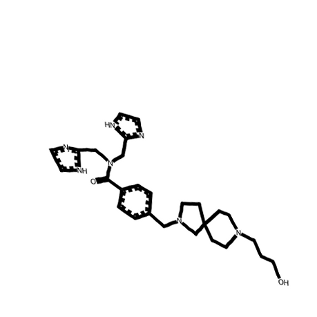 O=C(c1ccc(CN2CCC3(CCN(CCCO)CC3)C2)cc1)N(Cc1ncc[nH]1)Cc1ncc[nH]1